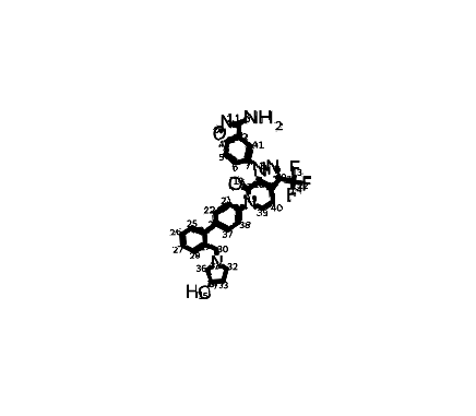 Nc1noc2ccc(-n3nc(C(F)(F)F)c4c3C(=O)N(c3ccc(-c5ccccc5CN5CC[C@H](O)C5)cc3)CC4)cc12